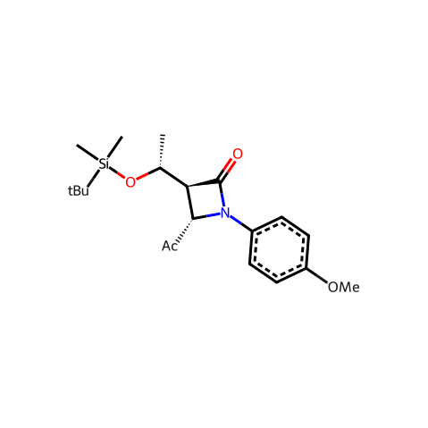 COc1ccc(N2C(=O)[C@H]([C@@H](C)O[Si](C)(C)C(C)(C)C)[C@H]2C(C)=O)cc1